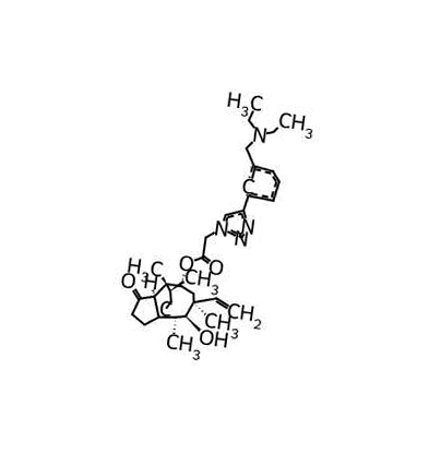 C=C[C@]1(C)C[C@@H](OC(=O)Cn2cc(-c3cccc(CN(CC)CC)c3)nn2)[C@]2(C)[C@H](C)CC[C@]3(CCC(=O)[C@H]32)[C@@H](C)[C@@H]1O